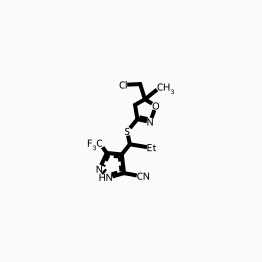 CCC(SC1=NOC(C)(CCl)C1)c1c(C(F)(F)F)n[nH]c1C#N